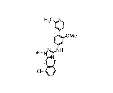 COc1cc(Nc2nc(Oc3c(F)cccc3Cl)n(C(C)C)n2)ccc1-c1ccnc(C)c1